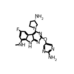 CNc1cc(F)cc2c1[nH]c1nc(Oc3cnc(N)nc3)nc(N3CC[C@H](N)C3)c12